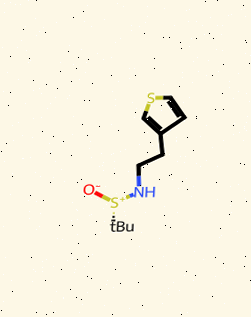 CC(C)(C)[S@+]([O-])NCCc1ccsc1